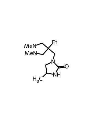 CCC(CNC)(CNC)CN1CC(C)NC1=O